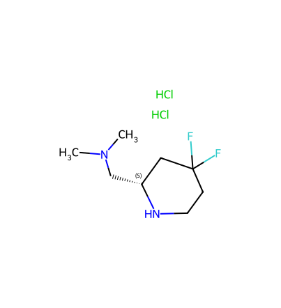 CN(C)C[C@@H]1CC(F)(F)CCN1.Cl.Cl